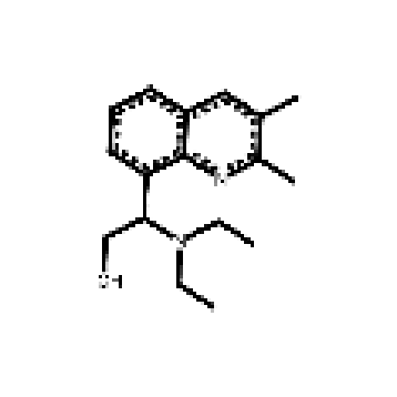 CCN(CC)C(CO)c1cccc2cc(C)c(C)nc12